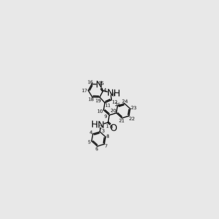 O=C(Nc1ccccc1)/C(=C/c1c[nH]c2ncccc12)c1ccccc1